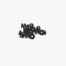 COc1cc(C(=O)NC2CCN(C)CC2)ccc1Nc1ncc(Br)c(N[C@@H]2CCCC[C@H]2NC(C)=O)n1